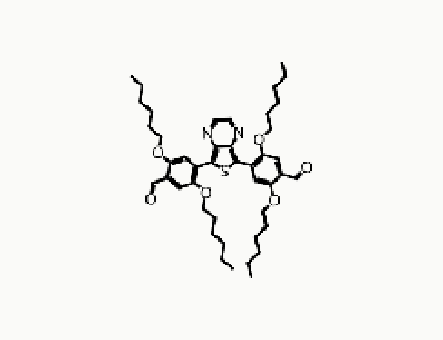 CCCCCCOc1cc(-c2sc(-c3cc(OCCCCCC)c(C=O)cc3OCCCCCC)c3nccnc23)c(OCCCCCC)cc1C=O